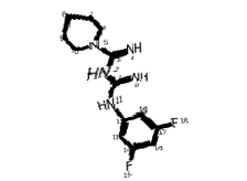 N=C(NC(=N)N1CCCCC1)Nc1cc(F)cc(F)c1